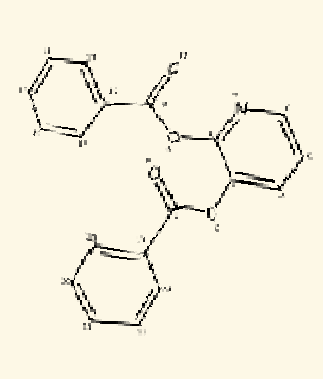 O=C(Oc1cccnc1OC(=O)c1ccccc1)c1ccccc1